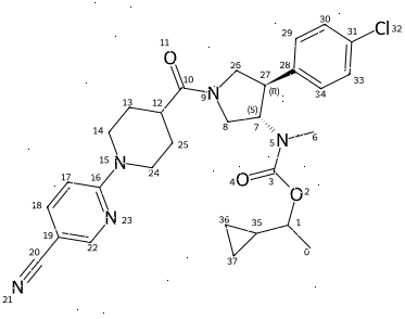 CC(OC(=O)N(C)[C@@H]1CN(C(=O)C2CCN(c3ccc(C#N)cn3)CC2)C[C@H]1c1ccc(Cl)cc1)C1CC1